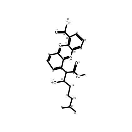 COC(=O)C(c1cccc2nc3c(C(=O)O)cccc3nc12)C(O)CCCC(C)C